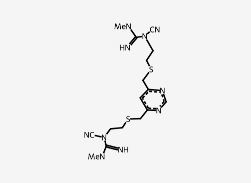 CNC(=N)N(C#N)CCSCc1cc(CSCCN(C#N)C(=N)NC)ncn1